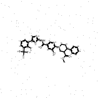 COC(=O)C1CN(c2ncc(C(=O)Nc3nc(-c4cccc(C(F)(F)F)c4F)cs3)cc2Cl)CCC1c1ccccc1